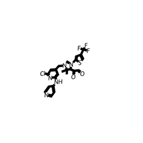 CC1(C)C(C(=O)C=O)N(c2cc(C(F)(F)F)cs2)CN1Cc1cc(Cl)nc(Nc2ccncc2)c1